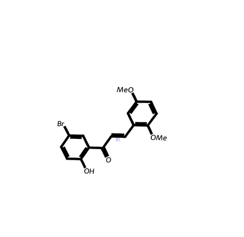 COc1ccc(OC)c(/C=C/C(=O)c2cc(Br)ccc2O)c1